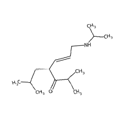 CC(C)C[C@H](/C=C/CNC(C)C)C(=O)C(C)C